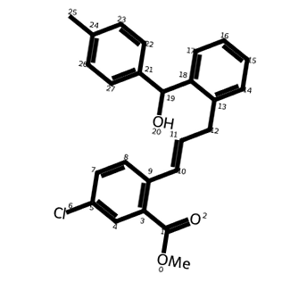 COC(=O)c1cc(Cl)ccc1C=CCc1ccccc1C(O)c1ccc(C)cc1